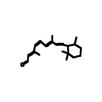 CC(/C=C\C=C(C)\C=C\C1C(C)CCCC1(C)C)=C\C=O